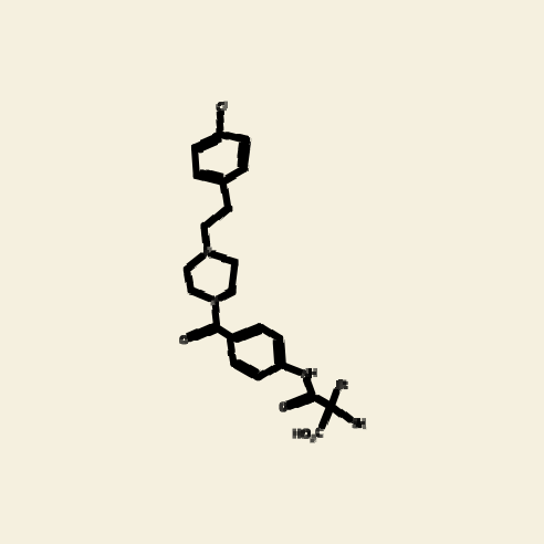 CCC(S)(C(=O)O)C(=O)Nc1ccc(C(=O)N2CCN(CCc3ccc(Cl)cc3)CC2)cc1